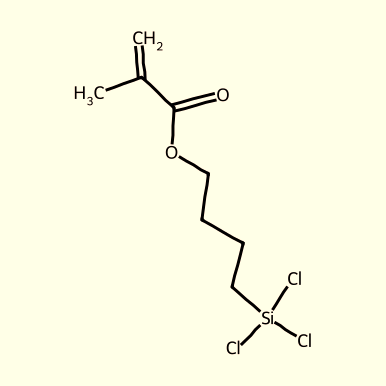 C=C(C)C(=O)OCCCC[Si](Cl)(Cl)Cl